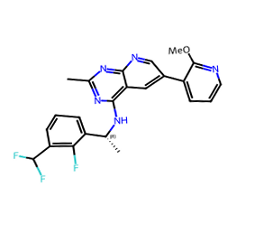 COc1ncccc1-c1cnc2nc(C)nc(N[C@H](C)c3cccc(C(F)F)c3F)c2c1